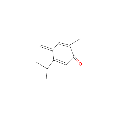 C=C1C=C(C)C(=O)C=C1C(C)C